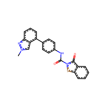 Cn1cc2c(-c3ccc(NC(=O)n4sc5ccccc5c4=O)cc3)cccc2n1